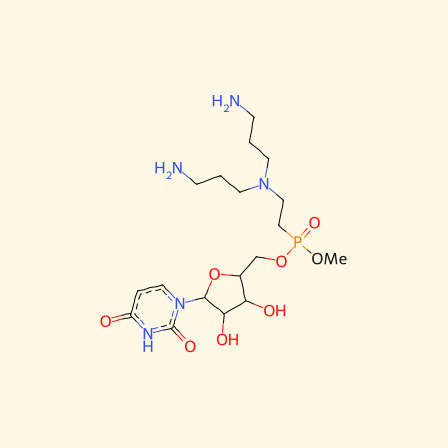 COP(=O)(CCN(CCCN)CCCN)OCC1OC(n2ccc(=O)[nH]c2=O)C(O)C1O